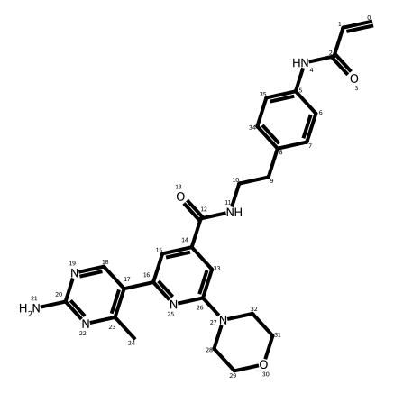 C=CC(=O)Nc1ccc(CCNC(=O)c2cc(-c3cnc(N)nc3C)nc(N3CCOCC3)c2)cc1